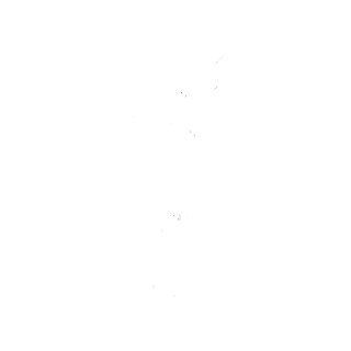 CC(C)(C)OC(=O)N[C@@H](Cc1ccccc1)C(=O)NCCCCNC(=O)OCc1ccccc1